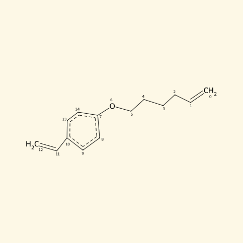 C=CCCCCOc1ccc(C=C)cc1